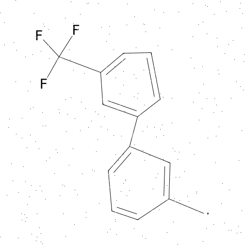 [CH2]c1cccc(-c2cccc(C(F)(F)F)c2)c1